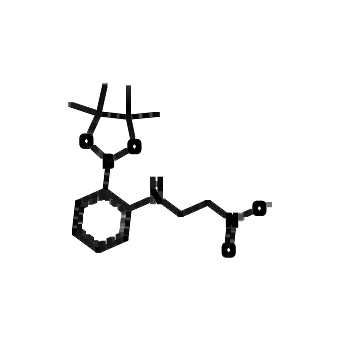 CC1(C)OB(c2ccccc2NCC[N+](=O)[O-])OC1(C)C